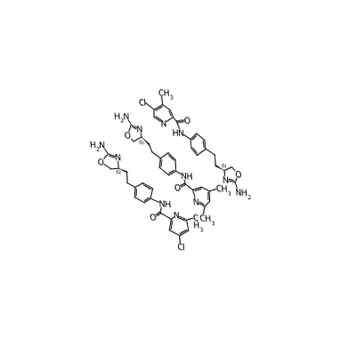 Cc1cc(C(=O)Nc2ccc(CC[C@H]3COC(N)=N3)cc2)ncc1Cl.Cc1cc(C)nc(C(=O)Nc2ccc(CC[C@H]3COC(N)=N3)cc2)c1.Cc1cc(Cl)cc(C(=O)Nc2ccc(CC[C@H]3COC(N)=N3)cc2)n1